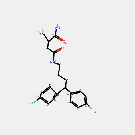 CC(CC(=O)NCCCC(c1ccc(F)cc1)c1ccc(F)cc1)C(N)=O